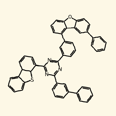 C1=CC2c3ccccc3SC2C(c2nc(-c3cccc(-c4ccccc4)c3)nc(-c3cccc(-c4cccc5oc6ccc(-c7ccccc7)cc6c45)c3)n2)=C1